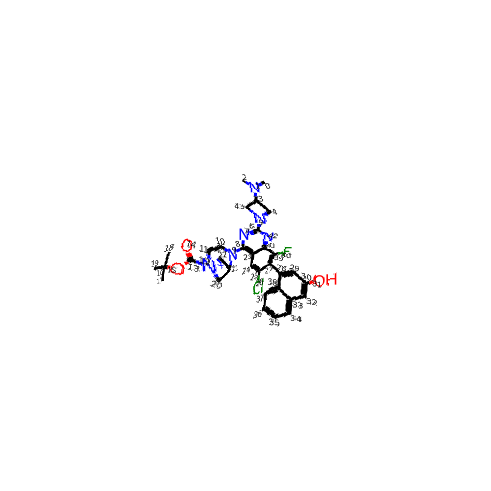 CN(C)C1CN(c2nc(N3CC[N+]4(C(=O)OC(C)(C)C)CC3C4)c3cc(Cl)c(-c4cc(O)cc5ccccc45)c(F)c3n2)C1